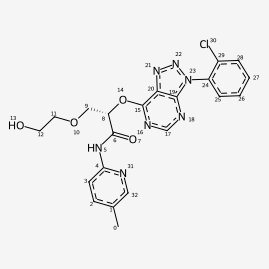 Cc1ccc(NC(=O)[C@H](COCCO)Oc2ncnc3c2nnn3-c2ccccc2Cl)nc1